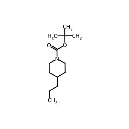 CCCC1CCN(C(=O)OC(C)(C)C)CC1